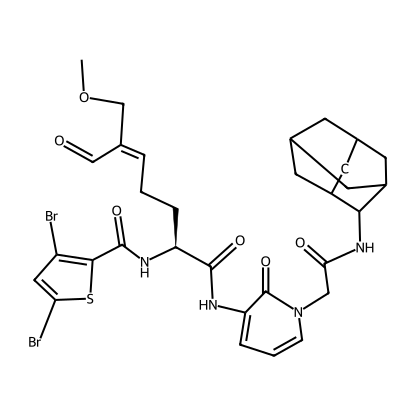 COC/C(C=O)=C/CC[C@H](NC(=O)c1sc(Br)cc1Br)C(=O)Nc1cccn(CC(=O)NC2C3CC4CC(C3)CC2C4)c1=O